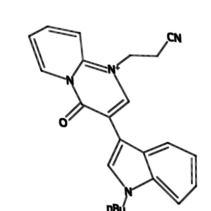 CCCCn1cc(-c2c[n+](CCC#N)c3ccccn3c2=O)c2ccccc21